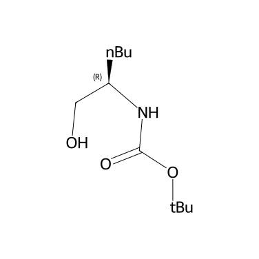 CCCC[C@H](CO)NC(=O)OC(C)(C)C